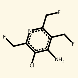 Nc1c(Cl)c(CF)nc(CF)c1CF